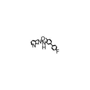 Cc1ccc(-c2ccc(F)cc2)cc1NC(=O)N1Cc2cccnc2C1